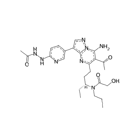 CCCN(C(=O)CO)[C@H](CC)CCc1nc2c(-c3ccc(NNC(C)=O)nc3)cnn2c(N)c1C(C)=O